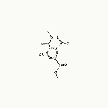 C.COC(=O)c1ccc(C(=O)OC)c([N+](=O)[O-])c1